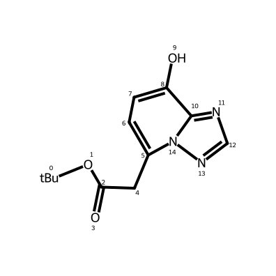 CC(C)(C)OC(=O)Cc1ccc(O)c2ncnn12